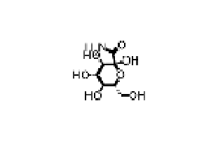 NC(=O)[C@]1(O)O[C@H](CO)[C@@H](O)[C@H](O)[C@H]1O